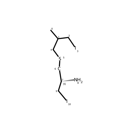 CC(CI)CSC[C@H](N)CI